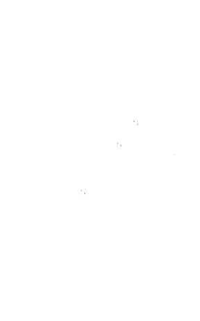 CC(C)c1ccccc1C1CN(CC(C)(C)C)CC(=O)N1C1CC2(CCN(C(=O)O)CC2)C1